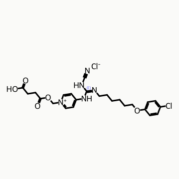 N#CN/C(=N/CCCCCCOc1ccc(Cl)cc1)Nc1cc[n+](COC(=O)CCC(=O)O)cc1.[Cl-]